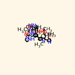 CCn1c(-c2cnccc2COC)c(CC(C)(C)COC(C)=O)c2cc(-c3cc(O)cc(C[C@H](NC(=O)[C@H](C(C)C)N(C)C(=O)[C@@H]4NC[C@@H]5C[C@@H]54)C(=O)N4CCCCN4)c3)ccc21